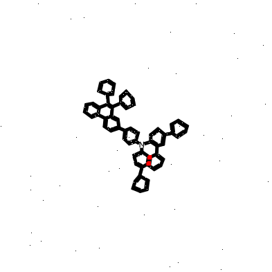 c1ccc(-c2ccc(N(c3ccc(-c4ccc5c(c4)c(-c4ccccc4)c(-c4ccccc4)c4ccccc45)cc3)c3ccc(-c4ccccc4)cc3-c3ccccc3)cc2)cc1